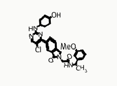 COc1cccc([C@@H](C)NC(=O)CN2Cc3ccc(-c4nc(NC5CCC(O)CC5)ncc4Cl)cc3C2=O)c1